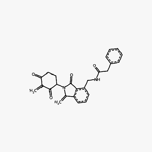 C=C1C(=O)CCC(N2C(=C)c3cccc(CNC(=O)Cc4ccccc4)c3C2=O)C1=O